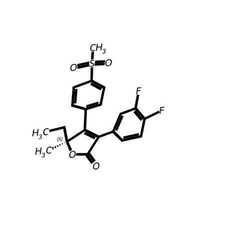 CC[C@]1(C)OC(=O)C(c2ccc(F)c(F)c2)=C1c1ccc(S(C)(=O)=O)cc1